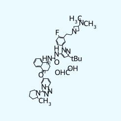 CC1CCCCN1c1nnc2ccc(O[C@@H]3CC[C@H](NC(=O)Nc4cc(C(C)(C)C)nn4-c4ccc(F)c(CCN5CC(N(C)C)C5)c4)c4ccccc43)cn12.O=CO